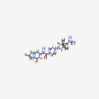 CCN[C@@H]1[C@@H]2CN(c3cnc(C(=O)Nc4cc(F)c5nc(C)cn5c4)cn3)C[C@@H]21